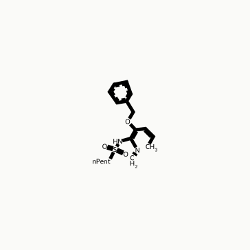 C=N/C(NS(=O)(=O)CCCCC)=C(\C=C/C)OCc1ccccc1